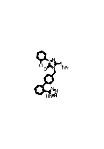 CCCSc1nn(-c2ccccc2Cl)c(=O)n1Cc1ccc(-c2ccccc2-c2nnn[nH]2)cc1